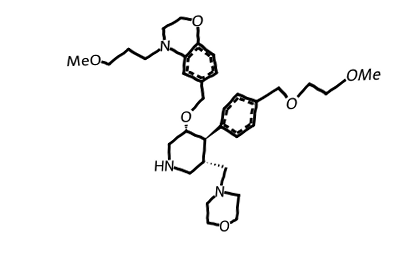 COCCCN1CCOc2ccc(CO[C@H]3CNC[C@@H](CN4CCOCC4)[C@@H]3c3ccc(COCCOC)cc3)cc21